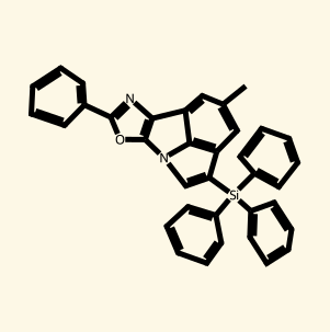 Cc1cc2c([Si](c3ccccc3)(c3ccccc3)c3ccccc3)cn3c4oc(-c5ccccc5)nc4c(c1)c23